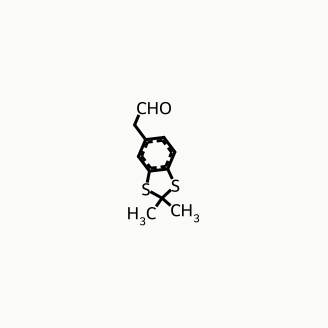 CC1(C)Sc2ccc(CC=O)cc2S1